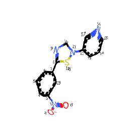 O=[N+]([O-])c1cccc(C2=NCN(c3cccnc3)S2)c1